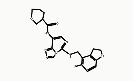 O=C(Nc1cnc(NCc2c(F)ccc3c2CCO3)n2cnnc12)C1CCCOC1